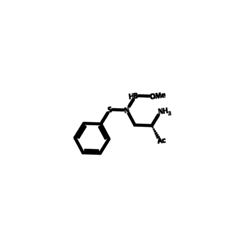 COBN(C[C@H](N)C(C)=O)Sc1ccccc1